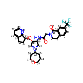 O=C(CN1CCc2ccc(C(F)(F)F)cc2C1=O)NC1CN(C2CCCOCC2)C[C@@H]1OC1CCc2cccnc21